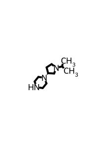 CC(C)N1CC[C@@H](N2CCNCC2)C1